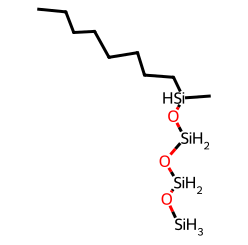 CCCCCCCC[SiH](C)O[SiH2]O[SiH2]O[SiH3]